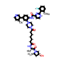 COc1cccc(F)c1-c1nccc(C(=O)Nc2ccc(-c3cnccc3C#N)cc2N2CCN(C(=O)CCCCCC(=O)N[C@H](C(=O)N3C[C@H](O)C[C@H]3C)C(C)(C)C)CC2)n1